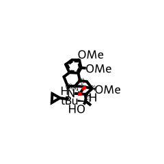 COc1ccc2c(c1OC)[C@]13CCN(CC4CC4)[C@H](C2)[C@]12C=C[C@](OC)(C3)[C@@H]([C@](C)(O)C(C)(C)C)C2